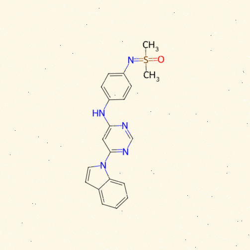 CS(C)(=O)=Nc1ccc(Nc2cc(-n3ccc4ccccc43)ncn2)cc1